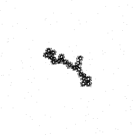 c1ccc(-c2ccc(-n3c4ccc(-c5ccc6c(c5)oc5cc7c(cc56)-c5ccccc5C7(c5ccccc5)c5ccccc5)cc4c4ccc(-c5ccc(-c6ccc(-n7c8ccccc8c8cc(-c9cccc%10c9oc9cc%11c(cc9%10)-c9ccccc9C%11(c9ccccc9)c9ccccc9)ccc87)cc6)cc5)cc43)cc2)cc1